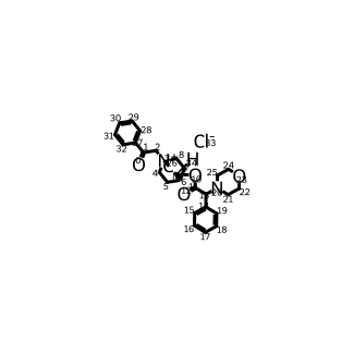 O=C(C[N+]12CCC(CC1)[C@@H](OC(=O)C(c1ccccc1)N1CCOCC1)C2)c1ccccc1.[Cl-]